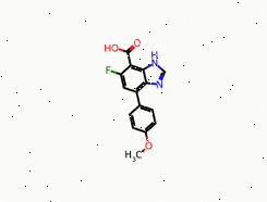 COc1ccc(-c2cc(F)c(C(=O)O)c3[nH]cnc23)cc1